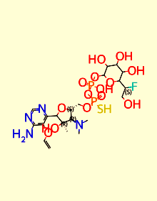 C=COc1c(N)ncnc1C1O[C@H](COP(=O)(S)OP(=O)(O)OC2OC([C@@H](F)CO)C(O)C(O)C2O)[C@@H](N(C)C)[C@@]1(C)O